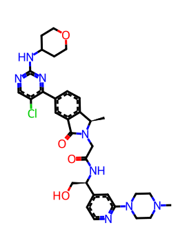 C[C@@H]1c2ccc(-c3nc(NC4CCOCC4)ncc3Cl)cc2C(=O)N1CC(=O)N[C@H](CO)c1ccnc(N2CCN(C)CC2)c1